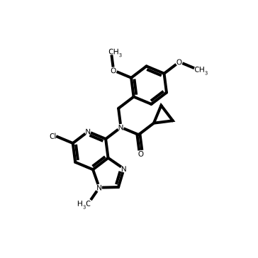 COc1ccc(CN(C(=O)C2CC2)c2nc(Cl)cc3c2ncn3C)c(OC)c1